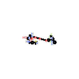 Cc1ncsc1-c1ccc(C(C)NC(=O)[C@@H]2C[C@@H](O)CN2C(=O)C(NC(=O)COCCCOCCCCCOc2cc(F)c([C@@H]3c4[nH]c5ccccc5c4C[C@@H](C)N3CC(C)(C)F)c(F)c2)C(C)(C)C)cc1